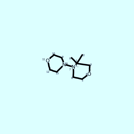 CC1(C)COCC[N+]1N1CCOCC1